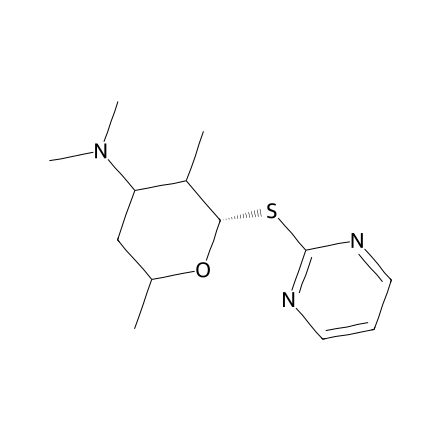 CC1CC(N(C)C)C(C)[C@H](Sc2ncccn2)O1